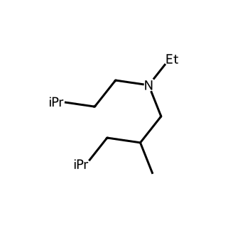 CCN(CCC(C)C)CC(C)CC(C)C